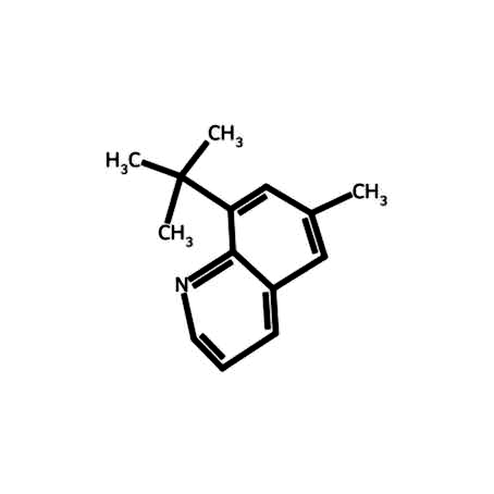 Cc1cc(C(C)(C)C)c2ncccc2c1